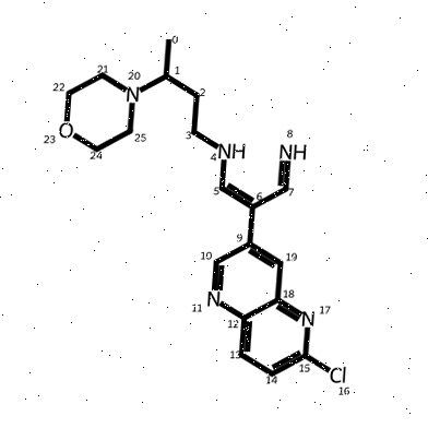 CC(CCN/C=C(\C=N)c1cnc2ccc(Cl)nc2c1)N1CCOCC1